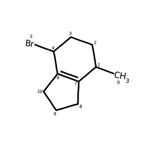 CC1CCC(Br)C2=C1CCC2